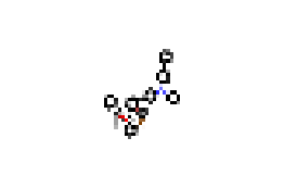 c1ccc(-c2ccc(N(c3ccccc3)c3ccc(-c4ccc5c(c4)[Si]4(c6ccccc6Sc6ccccc64)c4ccccc4[SiH]5c4ccccc4)cc3)cc2)cc1